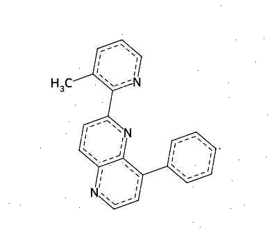 Cc1cccnc1-c1ccc2nccc(-c3cc[c]cc3)c2n1